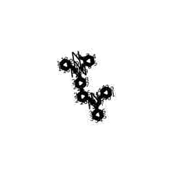 N#Cc1ccccc1-c1nc(-c2ccccc2)nc(-c2ccc(-c3cccc(-c4nc(-c5ccccc5)cc(-c5ccccc5)n4)c3)cc2)n1